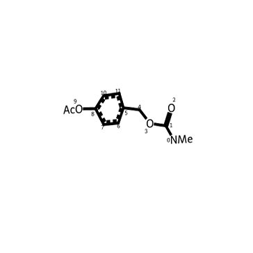 CNC(=O)OCc1ccc(OC(C)=O)cc1